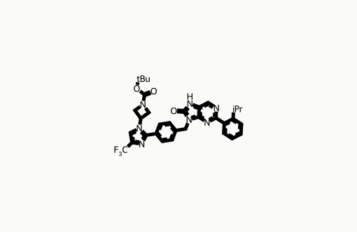 CC(C)c1ccccc1-c1ncc2[nH]c(=O)n(Cc3ccc(-c4nc(C(F)(F)F)cn4C4CN(C(=O)OC(C)(C)C)C4)cc3)c2n1